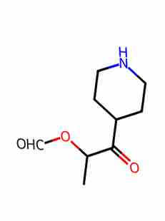 CC(OC=O)C(=O)C1CCNCC1